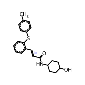 Cc1ccc(Sc2ccccc2/C=C/C(=O)NC2CCC(O)CC2)cc1